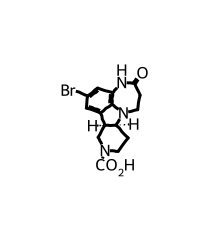 O=C1CCN2c3c(cc(Br)cc3[C@@H]3CN(C(=O)O)CC[C@@H]32)N1